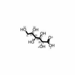 O=C(O)[C@H](O)[C@H](O)[C@@H](O)[C@@H](O)CO